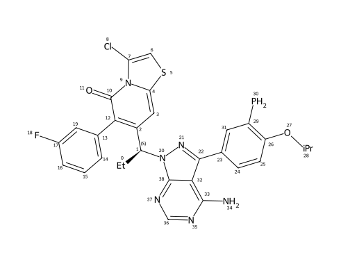 CC[C@@H](c1cc2scc(Cl)n2c(=O)c1-c1cccc(F)c1)n1nc(-c2ccc(OC(C)C)c(P)c2)c2c(N)ncnc21